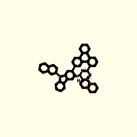 CCC(C)C(/N=C(\N=C(/C)c1ccccc1)c1cccc2c3ccccc3c3ccc(-c4ccc5c6ccccc6n(-c6ccc7ccccc7c6)c5c4)cc3c12)c1ccccc1